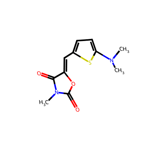 CN1C(=O)O/C(=C\c2ccc(N(C)C)s2)C1=O